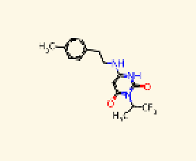 Cc1ccc(CCNc2cc(=O)n(C(C)C(F)(F)F)c(=O)[nH]2)cc1